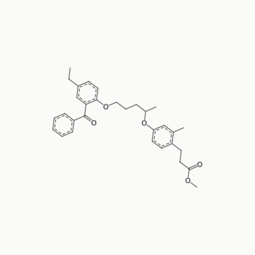 CCc1ccc(OCCCC(C)Oc2ccc(CCC(=O)OC)c(C)c2)c(C(=O)c2ccccc2)c1